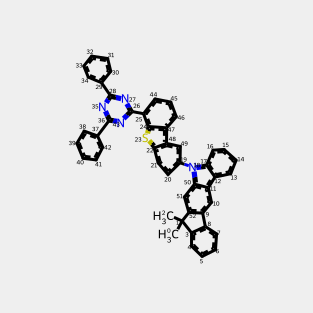 CC1(C)c2ccccc2-c2cc3c4ccccc4n(-c4ccc5sc6c(-c7nc(-c8ccccc8)nc(-c8ccccc8)n7)cccc6c5c4)c3cc21